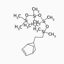 C[Si](C)(C)O[Si](C)(C)O[Si](C)(C)O[Si](C)(C)CCC1CC2C=CC1C2